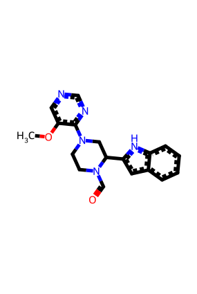 COc1cncnc1N1CCN(C=O)C(c2cc3ccccc3[nH]2)C1